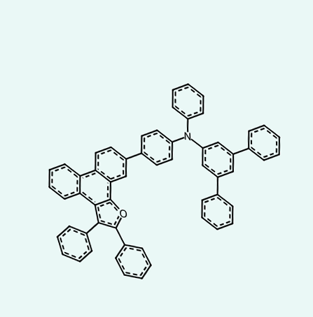 c1ccc(-c2cc(-c3ccccc3)cc(N(c3ccccc3)c3ccc(-c4ccc5c6ccccc6c6c(-c7ccccc7)c(-c7ccccc7)oc6c5c4)cc3)c2)cc1